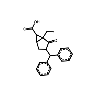 CCC12C(=O)C(C(c3ccccc3)c3ccccc3)CC1C2C(=O)O